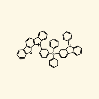 c1ccc2c(c#1)sc1c2ccc2c3ccccc3n(-c3cccc([Si](c4ccccc4)(c4ccccc4)c4ccc5c6ccccc6n(-c6ccccc6)c5c4)c3)c21